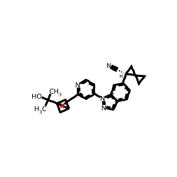 CC(C)(O)C12CC(C1)N(c1cc(-n3ncc4ccc([C@@]5(C#N)CC56CC6)cc43)ccn1)C2